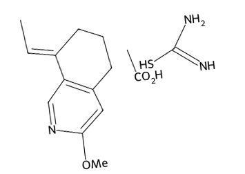 CC(=O)O.CC=C1CCCc2cc(OC)ncc21.N=C(N)S